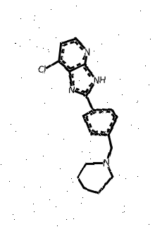 Clc1ccnc2[nH]c(-c3ccc(CN4CCCCC4)cc3)nc12